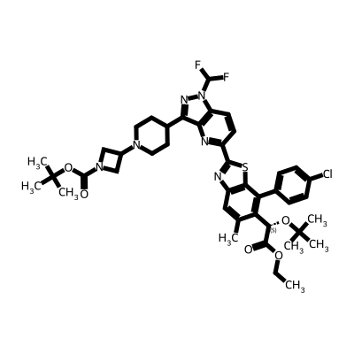 CCOC(=O)[C@@H](OC(C)(C)C)c1c(C)cc2nc(-c3ccc4c(n3)c(C3CCN(C5CN(C(=O)OC(C)(C)C)C5)CC3)nn4C(F)F)sc2c1-c1ccc(Cl)cc1